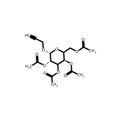 C#CCO[C@@H]1OC(COC(C)=O)[C@@H](OC(C)=O)C(OC(C)=O)[C@@H]1OC(C)=O